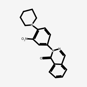 O=c1c2ccccc2cnn1-c1ccc(N2CCCCC2)c([N+](=O)[O-])c1